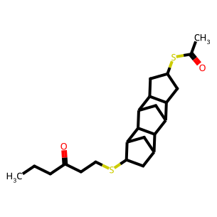 CCCC(=O)CCSC1CC2CC1C1C3CC(C4CC(SC(C)=O)CC43)C21